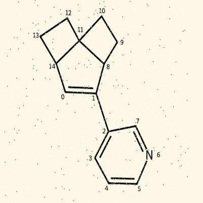 C1=C(c2cccnc2)C2CCC23CCC13